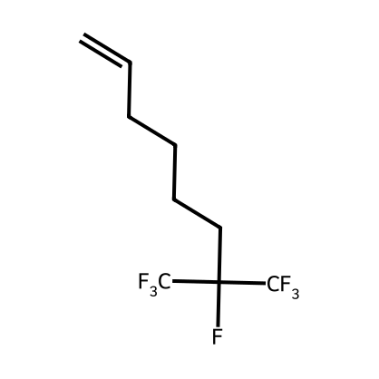 C=CCCCCC(F)(C(F)(F)F)C(F)(F)F